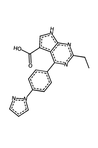 CCc1nc(-c2ccc(-n3cccn3)cc2)c2c(C(=O)O)c[nH]c2n1